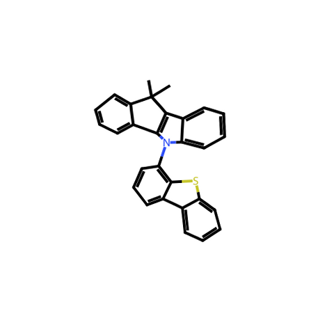 CC1(C)c2ccccc2-c2c1c1ccccc1n2-c1cccc2c1sc1ccccc12